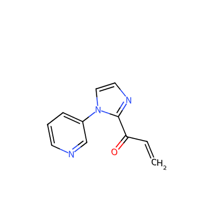 C=CC(=O)c1nccn1-c1cccnc1